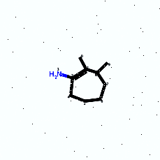 CC1=C(N)CCCCC1C